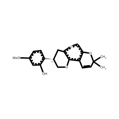 COc1ccc([C@H]2COc3c(ccc4c3C=CC(C)(C)O4)C2)c(O)c1